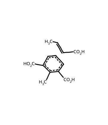 CC=CC(=O)O.Cc1c(C(=O)O)cccc1C(=O)O